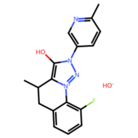 Cc1ccc(-n2n[n+]3c(c2O)C(C)Cc2cccc(F)c2-3)cn1.[OH-]